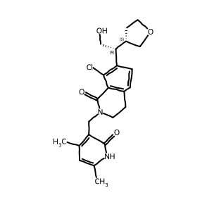 Cc1cc(C)c(CN2CCc3ccc([C@H](CO)[C@@H]4CCOC4)c(Cl)c3C2=O)c(=O)[nH]1